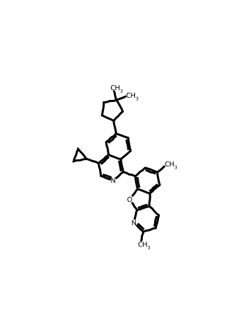 Cc1cc(-c2ncc(C3CC3)c3cc(C4CCC(C)(C)C4)ccc23)c2oc3nc(C)ccc3c2c1